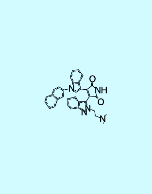 CN(C)CCn1nc2ccccc2c1C1=C(c2cn(-c3ccc4ccccc4c3)c3ccccc23)C(=O)NC1=O